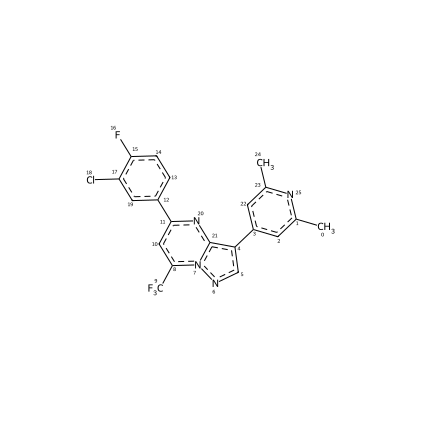 Cc1cc(-c2cnn3c(C(F)(F)F)cc(-c4ccc(F)c(Cl)c4)nc23)cc(C)n1